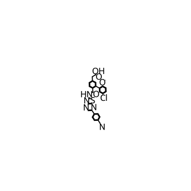 COc1ccc(Cl)cc1-c1cc(CC(=O)O)ccc1C(=O)Nc1nc2ncc(-c3ccc(C#N)cc3)nc2s1